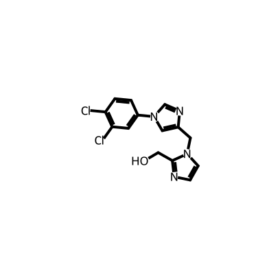 OCc1nccn1Cc1cn(-c2ccc(Cl)c(Cl)c2)cn1